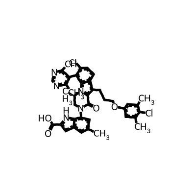 Cc1cc(N2C[C@@H](C)n3c(c(CCCOc4cc(C)c(Cl)c(C)c4)c4ccc(Cl)c(-c5c(C)ncnc5C)c43)C2=O)c2[nH]c(C(=O)O)cc2c1